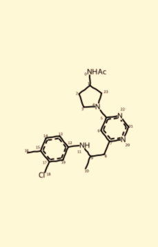 CC(=O)NC1CCN(c2cc(CC(C)Nc3ccc(C)c(Cl)c3)ncn2)C1